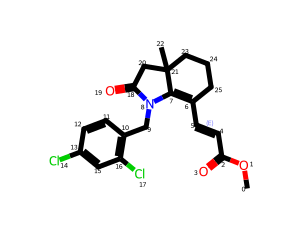 COC(=O)/C=C/C1=C2N(Cc3ccc(Cl)cc3Cl)C(=O)CC2(C)CCC1